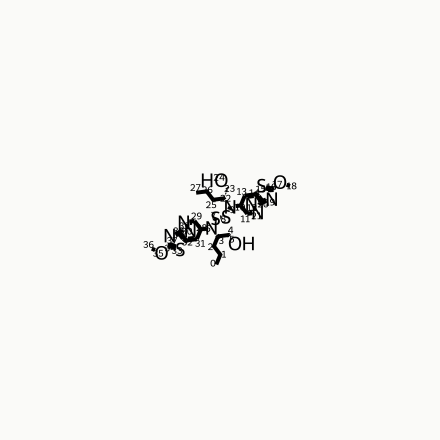 CCCC(CO)N(SSN(C1c2nc1c1sc(OC)nc1n2)[C@@H](CO)CCC)C1c2nc1c1sc(OC)nc1n2